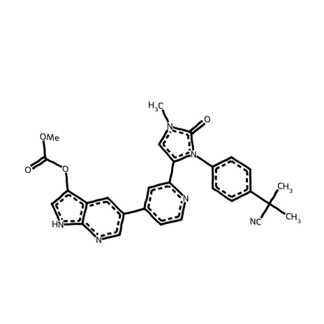 COC(=O)Oc1c[nH]c2ncc(-c3ccnc(-c4cn(C)c(=O)n4-c4ccc(C(C)(C)C#N)cc4)c3)cc12